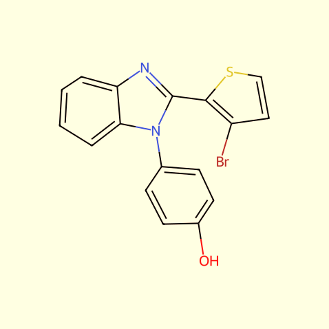 Oc1ccc(-n2c(-c3sccc3Br)nc3ccccc32)cc1